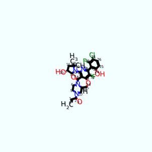 C=CC(=O)N1CCN2C(=O)c3c(N4C[C@H](O)CC4(C)C)nc(-c4c(O)ccc(Cl)c4F)c(F)c3OC[C@H]2C1